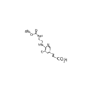 CC(C)(C)OC(=O)NCCNc1ncc(C=CC(=O)O)cc1Cl